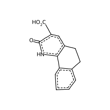 O=C(O)c1cc2c([nH]c1=O)-c1ccccc1CC2